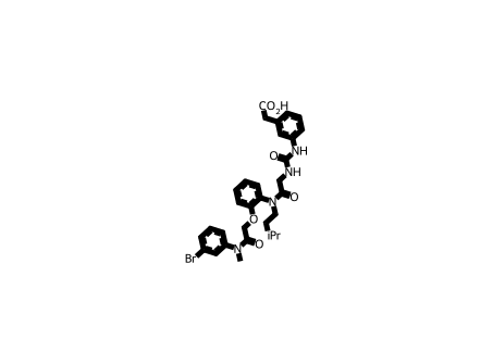 CC(C)CCN(C(=O)CNC(=O)Nc1cccc(CC(=O)O)c1)c1ccccc1OCC(=O)N(C)c1cccc(Br)c1